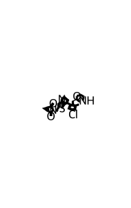 Cc1cc(Cl)cc(-c2ccnc3cc(CN4C(=O)C5CC5C4=O)sc23)c1C[C@@H]1CNCCO1